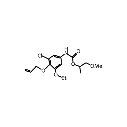 C=CCOc1c(Cl)cc(NC(=O)OC(C)COC)cc1OCC